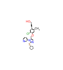 Cc1cc(OCc2cnc(SC3CCCC3)n2-c2cccnc2)c(Cl)cc1C#CCO